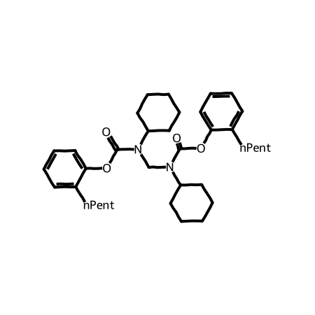 CCCCCc1ccccc1OC(=O)N(CN(C(=O)Oc1ccccc1CCCCC)C1CCCCC1)C1CCCCC1